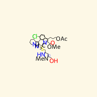 CN/C(=C\C(=N)CSCc1nn2c(c1-c1c(Cl)ccc3c(CCCOC(C)=O)c(C(=O)OC)n(C)c13)CCCC2)CO